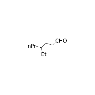 CCCC(CC)CCC=O